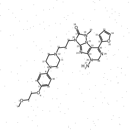 COCCOc1ccc(N2CCN(CCCn3c(=O)n(C)n4c5c(nc34)N(N)CN=C5c3ccco3)CC2)cc1